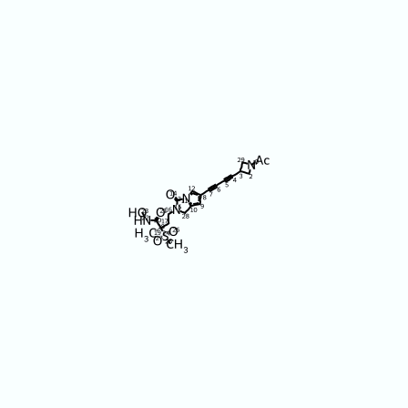 CC(=O)N1CC(C#CC#Cc2cc3n(c2)C(=O)N(CC[C@](C)(C(=O)NO)S(C)(=O)=O)C3)C1